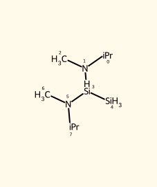 CC(C)N(C)[SiH]([SiH3])N(C)C(C)C